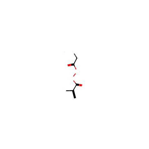 C=C(CC)C(=O)OOC(=O)CCCCCCC